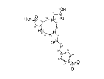 O=C(O)CN1CCN(CC(=O)OCc2ccc([N+](=O)[O-])cc2)CCNN(CC(=O)O)CC1